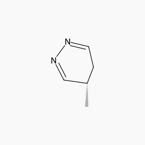 C[C@@H]1C=NN=CC1